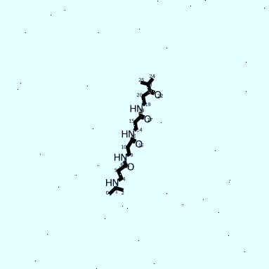 CC(C)NCCC(=O)NCCC(=O)NCCC(=O)NCCC(=O)C(C)C